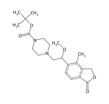 COC(CN1CCN(C(=O)OC(C)(C)C)CC1)c1ccc2c(c1C)COC2=O